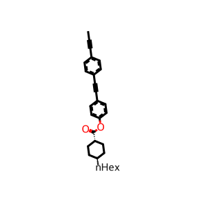 CC#Cc1ccc(C#Cc2ccc(OC(=O)[C@H]3CC[C@H](CCCCCC)CC3)cc2)cc1